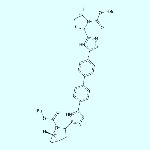 C[C@H]1CCC(c2ncc(-c3ccc(-c4ccc(-c5cnc(C6CC7C[C@@H]7N6C(=O)OC(C)(C)C)[nH]5)cc4)cc3)[nH]2)N1C(=O)OC(C)(C)C